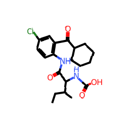 CCC(C)C(NC(=O)O)C(=O)Nc1ccc(Cl)cc1C(=O)C1CCCCC1